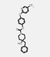 O=C(Oc1ccc(Oc2ccc(C(F)(F)F)cn2)cc1)N1CCC(O)(Cc2ccccc2)CC1